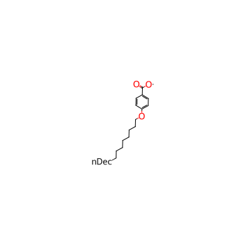 CCCCCCCCCCCCCCCCCCOc1ccc(C([O])=O)cc1